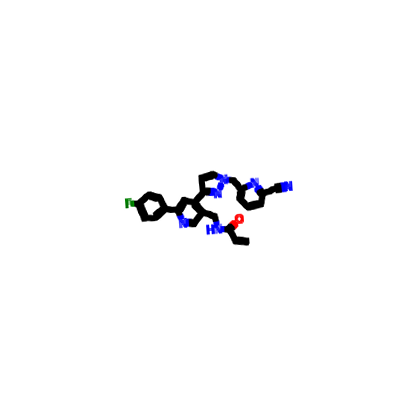 C=CC(=O)NCc1cnc(-c2ccc(F)cc2)cc1-c1ccn(Cc2cccc(C#N)n2)n1